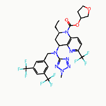 CC[C@@H]1C[C@H](N(Cc2cc(C(F)(F)F)cc(C(F)(F)F)c2)c2nnn(C)n2)c2nc(C(F)(F)F)ccc2N1C(=O)OC1CCOC1